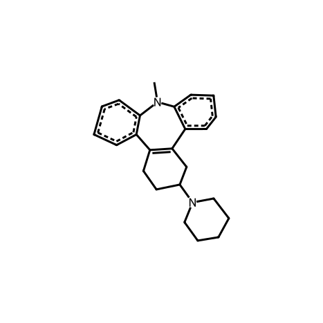 CN1c2ccccc2C2=C(CC(N3CCCCC3)CC2)c2ccccc21